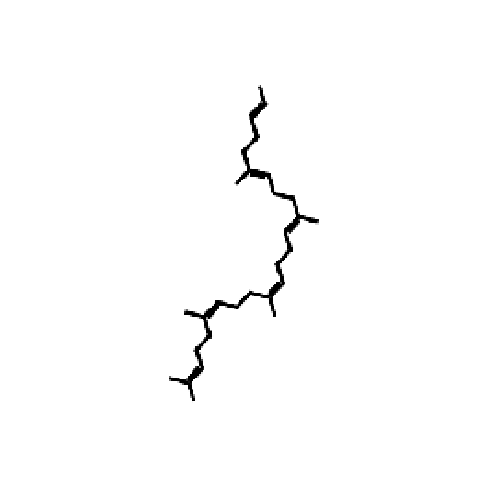 C/[C]=C/CCC(C)=CCCC(C)=CCCC=C(C)CCC=C(C)CCC=C(C)C